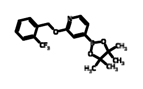 CC1(C)OB(c2ccnc(OCc3ccccc3C(F)(F)F)c2)OC1(C)C